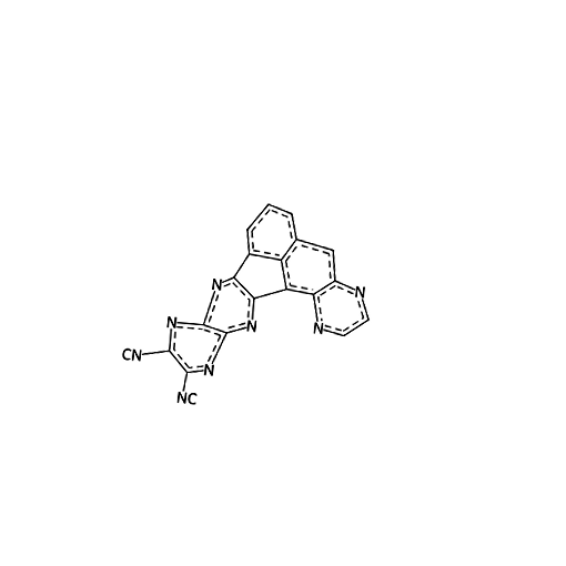 [C-]#[N+]c1nc2nc3c(nc2nc1[N+]#[C-])-c1c2nccnc2cc2cccc-3c12